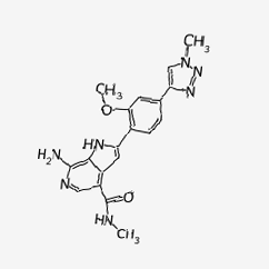 CNC(=O)c1cnc(N)c2[nH]c(-c3ccc(-c4cn(C)nn4)cc3OC)cc12